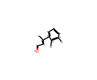 CC(=CC=O)c1cccc(C)c1C